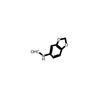 O=CNc1ccc2c(c1)OCO2